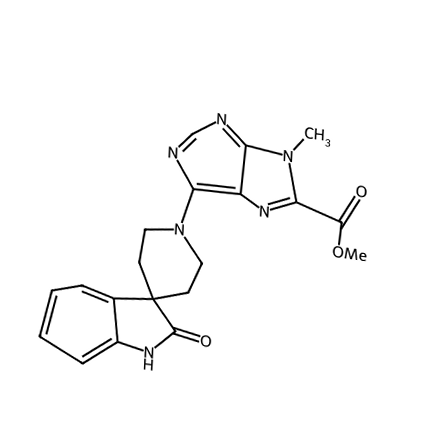 COC(=O)c1nc2c(N3CCC4(CC3)C(=O)Nc3ccccc34)ncnc2n1C